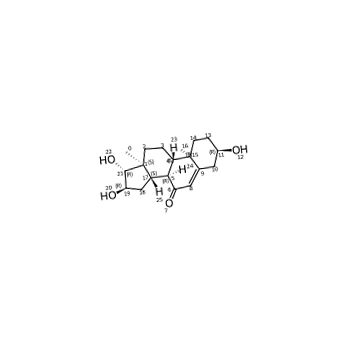 C[C@]12CC[C@H]3[C@@H](C(=O)C=C4C[C@H](O)CC[C@@]43C)[C@@H]1C[C@@H](O)[C@@H]2O